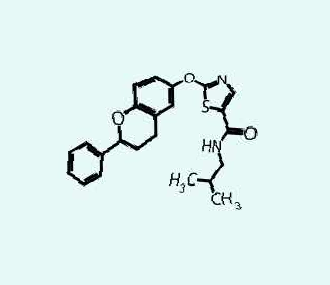 CC(C)CNC(=O)c1cnc(Oc2ccc3c(c2)CCC(c2ccccc2)O3)s1